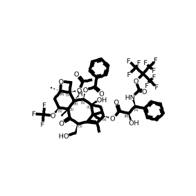 CC(=O)O[C@@]12CO[C@]1(C)C[C@H](OC(F)(F)F)[C@@]1(C)C(=O)[C@H](CO)C3=C(C)[C@@H](OC(=O)[C@H](O)[C@@H](NC(=O)OC(C(F)(F)F)(C(F)(F)F)C(F)(F)F)c4ccccc4)C[C@@](O)([C@@H](OC(=O)c4ccccc4)[C@@H]12)C3(C)C